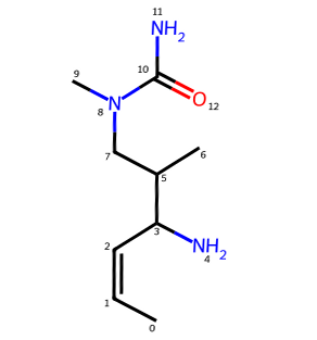 C/C=C\C(N)C(C)CN(C)C(N)=O